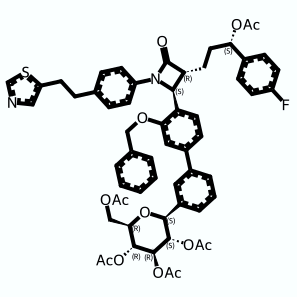 CC(=O)OC[C@H]1O[C@@H](c2cccc(-c3ccc([C@@H]4[C@@H](CC[C@H](OC(C)=O)c5ccc(F)cc5)C(=O)N4c4ccc(CCc5cncs5)cc4)c(OCc4ccccc4)c3)c2)[C@H](OC(C)=O)[C@@H](OC(C)=O)[C@@H]1OC(C)=O